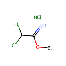 CCOC(=N)C(Cl)Cl.Cl